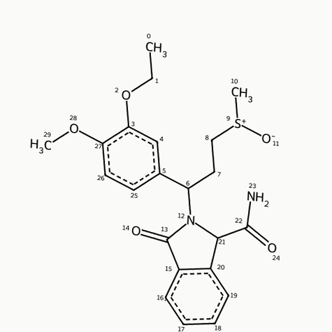 CCOc1cc(C(CC[S+](C)[O-])N2C(=O)c3[c]cccc3C2C(N)=O)ccc1OC